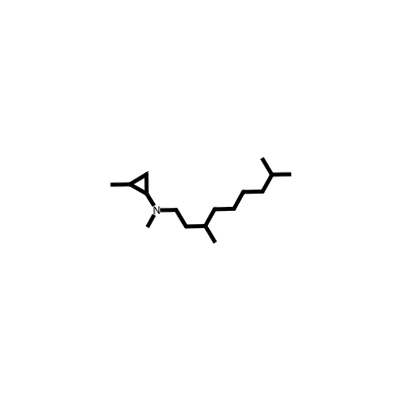 CC(C)CCCCC(C)CCN(C)C1CC1C